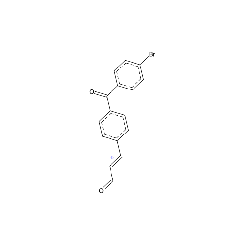 O=C/C=C/c1ccc(C(=O)c2ccc(Br)cc2)cc1